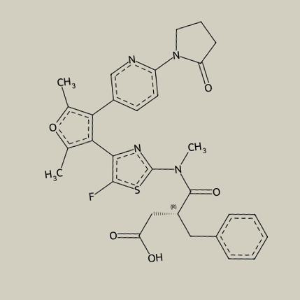 Cc1oc(C)c(-c2nc(N(C)C(=O)[C@@H](CC(=O)O)Cc3ccccc3)sc2F)c1-c1ccc(N2CCCC2=O)nc1